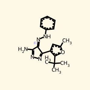 Cc1cc(C2=NN=C(N)/C2=N/Nc2ccccc2)c(C(C)(C)C)o1